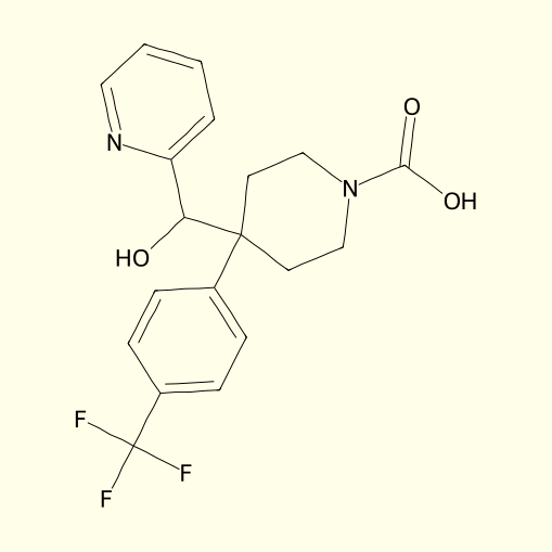 O=C(O)N1CCC(c2ccc(C(F)(F)F)cc2)(C(O)c2ccccn2)CC1